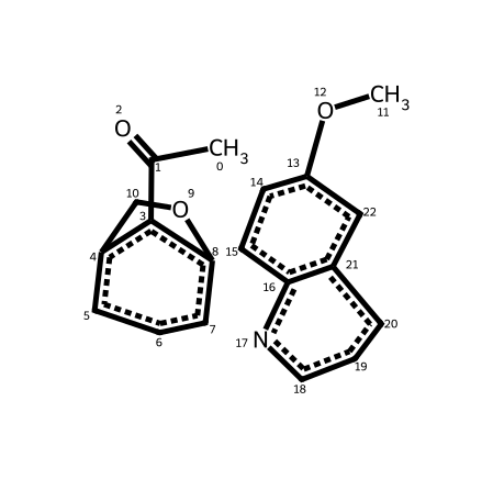 CC(=O)c1c2cccc1OC2.COc1ccc2ncccc2c1